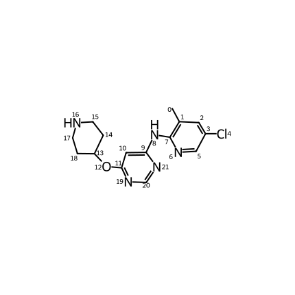 Cc1cc(Cl)cnc1Nc1cc(OC2CCNCC2)ncn1